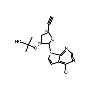 C#C[C@@H]1C[C@@H](OC(C)(C)O)C(n2ccc3c(Cl)ncnc32)O1